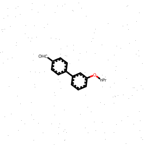 CCCOc1cccc(-c2ccc(C=O)cc2)c1